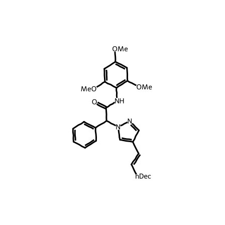 CCCCCCCCCCC=Cc1cnn(C(C(=O)Nc2c(OC)cc(OC)cc2OC)c2ccccc2)c1